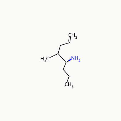 C=CCC(C)[C@@H](N)CCC